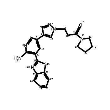 Nc1ncc(-c2cnn(CCC(=O)N3CCCC3)c2)cc1-c1nc2ccccc2s1